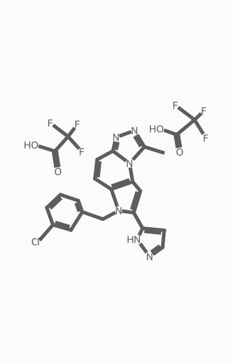 Cc1nnc2ccc3c(cc(-c4ccn[nH]4)n3Cc3cccc(Cl)c3)n12.O=C(O)C(F)(F)F.O=C(O)C(F)(F)F